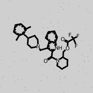 Cc1cccc(C)c1C1CCN(Cc2c(C(=O)N3CCCCC3COC(=O)C(F)(F)F)[nH]c3ccccc23)CC1